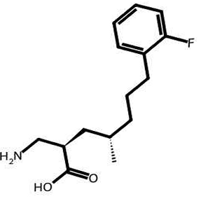 C[C@@H](CCCc1ccccc1F)C[C@H](CN)C(=O)O